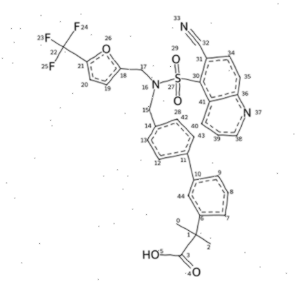 CC(C)(C(=O)O)c1cccc(-c2ccc(CN(Cc3ccc(C(F)(F)F)o3)S(=O)(=O)c3c(C#N)ccc4ncccc34)cc2)c1